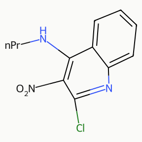 CCCNc1c([N+](=O)[O-])c(Cl)nc2ccccc12